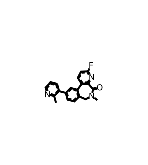 Cc1ncccc1-c1ccc2c(c1)-c1ccc(F)nc1C(=O)N(C)C2